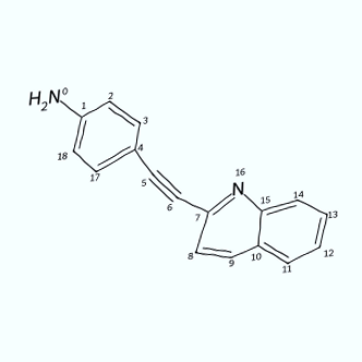 Nc1ccc(C#Cc2ccc3ccccc3n2)cc1